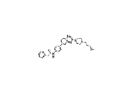 COCCCN1CCN(c2cnc3ccc(-c4ccc(NC(=O)Cc5ccccc5)cc4)cc3n2)CC1